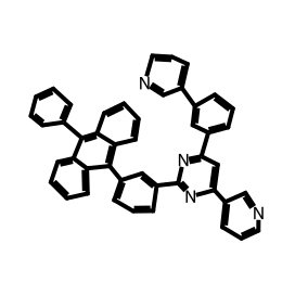 c1ccc(-c2c3ccccc3c(-c3cccc(-c4nc(-c5cccnc5)cc(-c5cccc(-c6cccnc6)c5)n4)c3)c3ccccc23)cc1